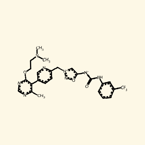 Cc1ncnc(OCCN(C)C)c1-c1ccc(C[n+]2cc([N-]C(=O)Nc3cccc(C(F)(F)F)c3)on2)nc1